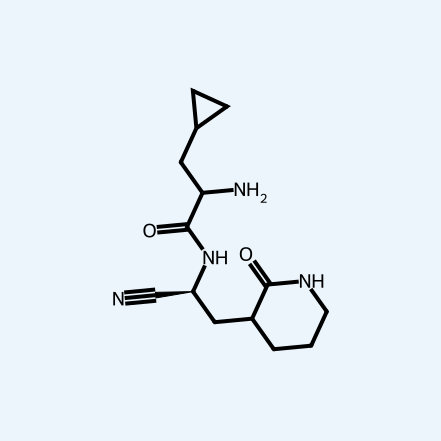 N#C[C@H](CC1CCCNC1=O)NC(=O)C(N)CC1CC1